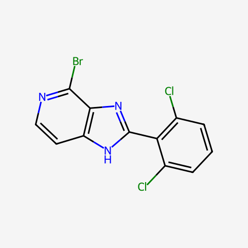 Clc1cccc(Cl)c1-c1nc2c(Br)nccc2[nH]1